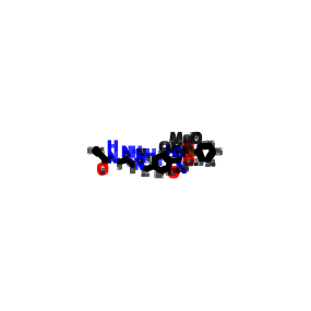 C#CC(=O)NC/C(N)=C/N(N)Cc1cc(OC)c2c(NS(=O)(=O)c3ccccc3OC)noc2c1